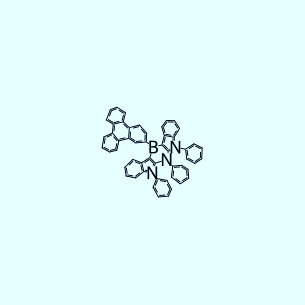 c1ccc(N2c3c(c4ccccc4n3-c3ccccc3)B(c3ccc4c5ccccc5c5ccccc5c4c3)c3c2n(-c2ccccc2)c2ccccc32)cc1